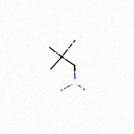 CN(Cl)CC(C)(C)C